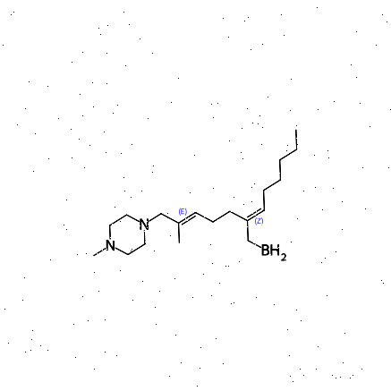 BC/C(=C/CCCCC)CC/C=C(\C)CN1CCN(C)CC1